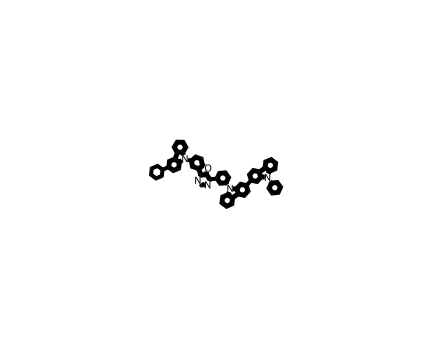 c1ccc(-n2c3ccccc3c3ccc(-c4ccc5c6ccccc6n(-c6cccc(-c7ncnc8c7oc7ccc(-n9c%10ccccc%10c%10cc(C%11CCCCC%11)ccc%109)cc78)c6)c5c4)cc32)cc1